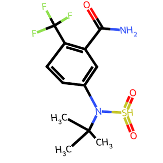 CC(C)(C)N(c1ccc(C(F)(F)F)c(C(N)=O)c1)[SH](=O)=O